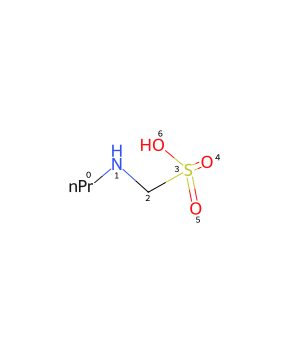 CCCNCS(=O)(=O)O